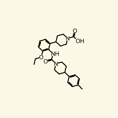 CCOc1cccc(C2CCN(C(=O)O)CC2)c1NC(=O)N1CCC(c2ccc(C)cc2)CC1